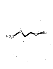 CCCCOCCOS(=O)(=O)O